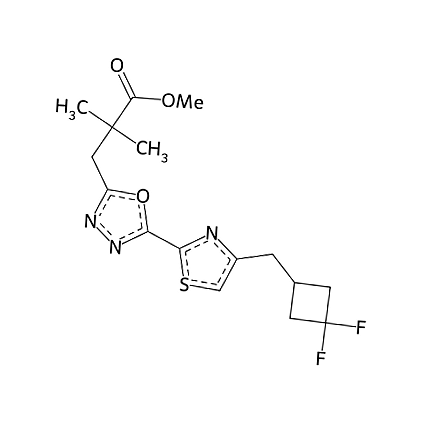 COC(=O)C(C)(C)Cc1nnc(-c2nc(CC3CC(F)(F)C3)cs2)o1